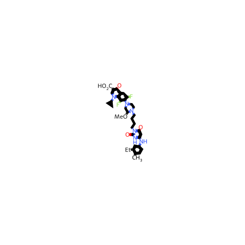 CCc1cc(Nc2cc(=O)n(CCCCN3CCN(c4c(F)cc5c(=O)c(C(=O)O)cn(C6CC6)c5c4F)CC3OC)c(=O)[nH]2)ccc1C